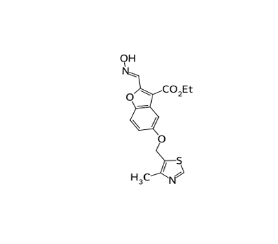 CCOC(=O)c1c(C=NO)oc2ccc(OCc3scnc3C)cc12